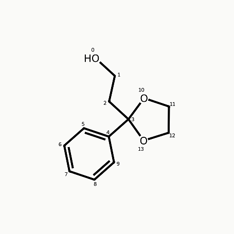 OCCC1(c2ccccc2)OCCO1